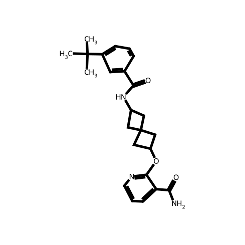 CC(C)(C)c1cccc(C(=O)NC2CC3(C2)CC(Oc2ncccc2C(N)=O)C3)c1